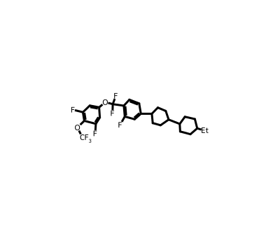 CCC1CCC(C2CCC(c3ccc(C(F)(F)Oc4cc(F)c(OC(F)(F)F)c(F)c4)c(F)c3)CC2)CC1